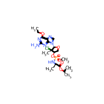 CCOc1nc(N)nc2c1ncn2[C@@H]1OC[C@@H](OP(=O)(N[C@H](C)C(=O)OC(C)C)OC)[C@@]1(C)Cl